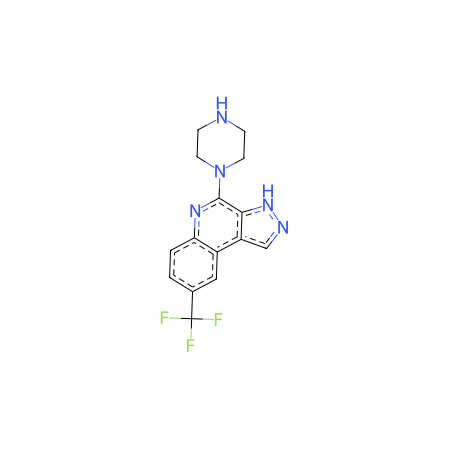 FC(F)(F)c1ccc2nc(N3CCNCC3)c3[nH]ncc3c2c1